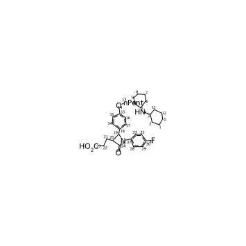 C1CCC(NC2CCCCC2)CC1.CCCCCOc1ccc(C2C(CCC(=O)O)C(=O)N2c2ccc(F)cc2)cc1